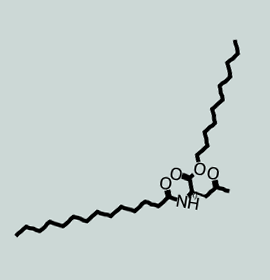 CCCCCCCCCCCCCC(=O)N[C@H](CC(C)=O)C(=O)OCCCCCCCCCCC